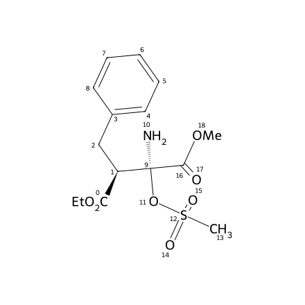 CCOC(=O)[C@@H](Cc1ccccc1)[C@](N)(OS(C)(=O)=O)C(=O)OC